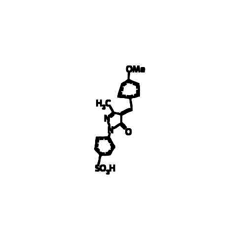 COc1ccc(C=C2C(=O)N(c3ccc(S(=O)(=O)O)cc3)N=C2C)cc1